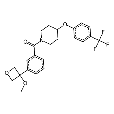 COC1(c2cccc(C(=O)N3CCC(Oc4ccc(C(F)(F)F)cc4)CC3)c2)COC1